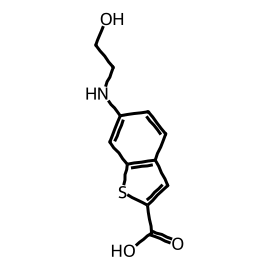 O=C(O)c1cc2ccc(NCCO)cc2s1